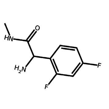 CNC(=O)C(N)c1ccc(F)cc1F